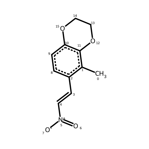 Cc1c(C=C[N+](=O)[O-])ccc2c1OCCO2